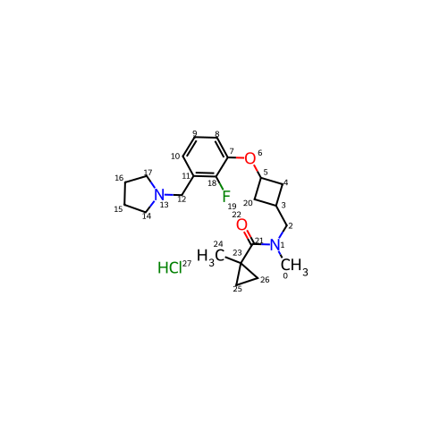 CN(CC1CC(Oc2cccc(CN3CCCC3)c2F)C1)C(=O)C1(C)CC1.Cl